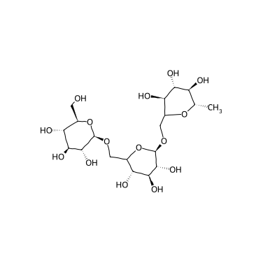 C[C@@H]1OC(CO[C@@H]2OC(CO[C@@H]3O[C@H](CO)[C@@H](O)[C@H](O)[C@H]3O)[C@@H](O)[C@H](O)[C@H]2O)[C@@H](O)[C@H](O)[C@H]1O